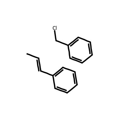 CC=Cc1ccccc1.ClCc1ccccc1